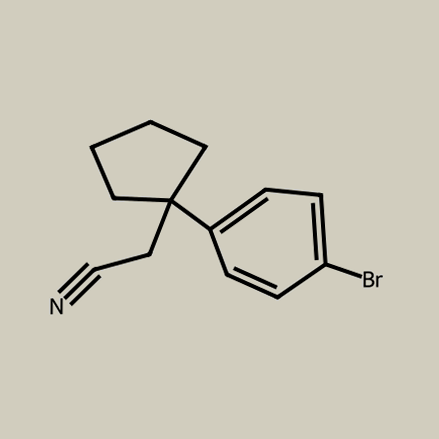 N#CCC1(c2ccc(Br)cc2)CCCC1